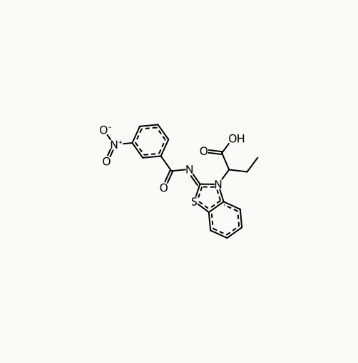 CCC(C(=O)O)n1/c(=N/C(=O)c2cccc([N+](=O)[O-])c2)sc2ccccc21